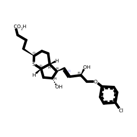 O=C(O)CCC[C@H]1CC[C@@H]2[C@@H](/C=C/[C@@H](O)COc3ccc(Cl)cc3)[C@H](O)C[C@@H]2S1